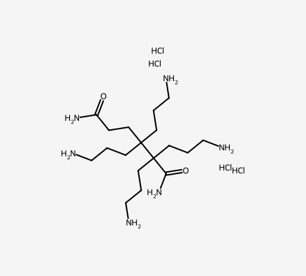 Cl.Cl.Cl.Cl.NCCCC(CCCN)(CCC(N)=O)C(CCCN)(CCCN)C(N)=O